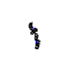 c1ccc2cc3nc(-c4ccc5cc(-c6c7ccccc7c(-c7ccc8cc9ccccc9cc8n7)c7ccccc67)ccc5c4)ccc3cc2c1